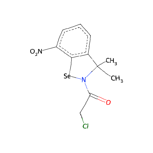 CC1(C)c2cccc([N+](=O)[O-])c2[Se]N1C(=O)CCl